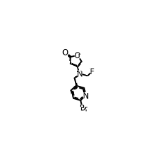 O=C1C=C(N(CF)Cc2ccc(Br)nc2)CO1